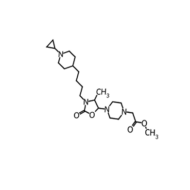 COC(=O)CN1CCN(C2OC(=O)N(CCCCC3CCN(C4CC4)CC3)C2C)CC1